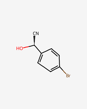 N#C[C@H](O)c1ccc(Br)cc1